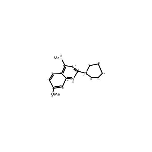 COc1ccc2c(OC)nc(N3CCCCC3)nc2c1